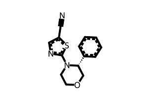 N#Cc1cnc(N2CCOC[C@H]2c2ccccc2)s1